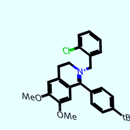 COc1cc2c(cc1OC)C(c1ccc(C(C)(C)C)cc1)=[N+](Cc1ccccc1Cl)CC2